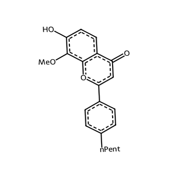 CCCCCc1ccc(-c2cc(=O)c3ccc(O)c(OC)c3o2)cc1